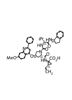 C=C[C@@H]1C[C@]1(NC(=O)[C@@H]1C[C@@H](Oc2cc(-c3ccccc3)nc3cc(OC)ccc23)CN1C(=O)N[C@H](C(=O)N[C@@H]1CCc2ccccc21)C(C)C)C(=O)O